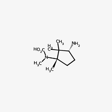 CN(C(=O)O)[C@@]1(C)CC[C@@H](N)C1(C)C